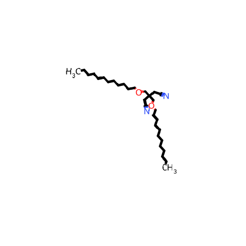 CCCCCCCCCCCCOCC(CC#N)(CC#N)COCCCCCCCCCCCC